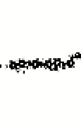 CNC(=O)c1cccc(C(=O)Nc2ccc(-c3ccc(NC(=O)c4ccc(C(=O)Nc5ccc(-c6ccc(C)cc6C)c(C)c5)cc4)cc3C)c(C)c2)c1